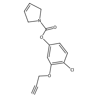 C#CCOc1cc(OC(=O)N2CC=CC2)ccc1Cl